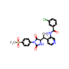 CC(c1ccncc1NC(=O)c1cccc(Cl)c1)C1NC(=O)N(c2ccc(S(=O)(=O)C(F)(F)F)cc2)C1=O